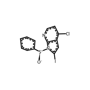 [O-][S@@+](c1ccccc1)n1c(I)cc2c(Cl)ccnc21